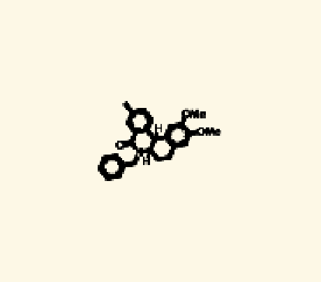 COc1cc2c(cc1OC)[C@H]1c3ccc(C)cc3C(=O)N(Cc3ccccc3)[C@@H]1CC2